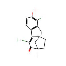 O=C1C(Br)=C2c3ccc(O)c(Cl)c3C[C@]23CC[C@@H]1C3